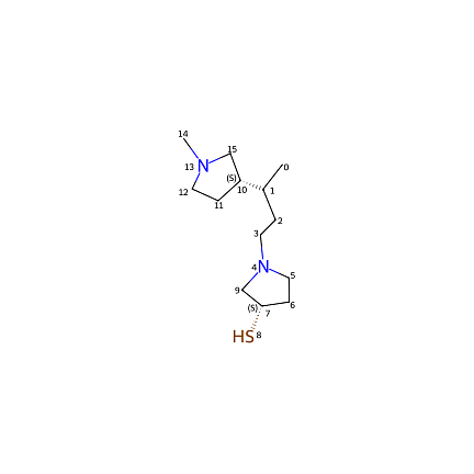 CC(CCN1CC[C@H](S)C1)[C@@H]1CCN(C)C1